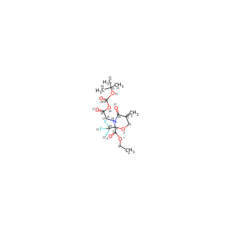 C=C1COC(C(=O)OCC)(C(F)(F)F)N(CC(=O)OC(=O)OC(C)(C)C)C1=O